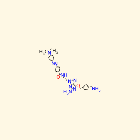 CN(C)c1ccc(/N=N/c2ccc(C(=O)NCCCn3cnc4c(OCc5ccc(CN)cc5)nc(N)nc43)cc2)cc1